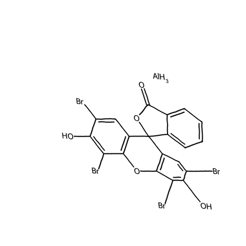 O=C1OC2(c3ccccc31)c1cc(Br)c(O)c(Br)c1Oc1c2cc(Br)c(O)c1Br.[AlH3]